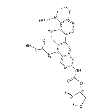 CC[C@@H]1COC[C@H]1OC(=O)Nc1cc2cc(-c3cnc4c(c3C)N(C(=O)O)CCO4)c(F)c(NC(=O)OC(C)(C)C)c2cn1